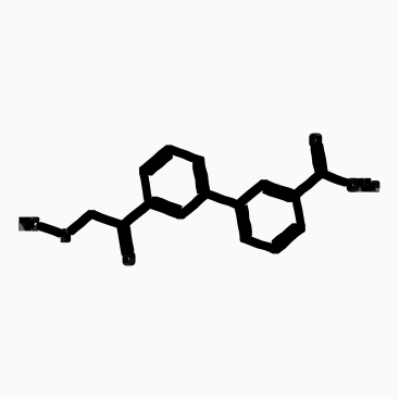 COC(=O)c1cccc(-c2cccc(C(=O)CSC#N)c2)c1